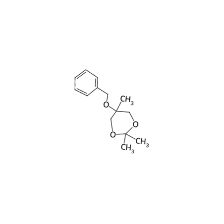 CC1(OCc2ccccc2)COC(C)(C)OC1